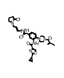 CC(C)C(=O)N1CCN(c2ccc(C(=O)NCCCN3CCCC3=O)cc2NC(=O)c2coc(C3CC3)n2)CC1